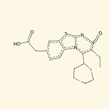 CCc1c(C2CCCCC2)n2c(nc1=O)sc1cc(CC(=O)O)ccc12